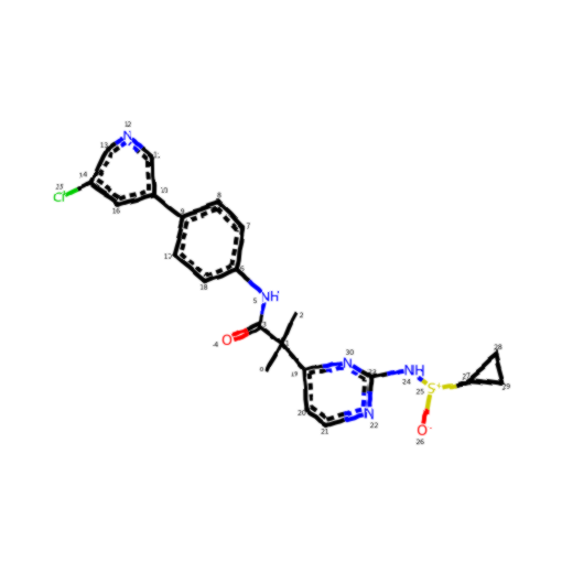 CC(C)(C(=O)Nc1ccc(-c2cncc(Cl)c2)cc1)c1ccnc(N[S+]([O-])C2CC2)n1